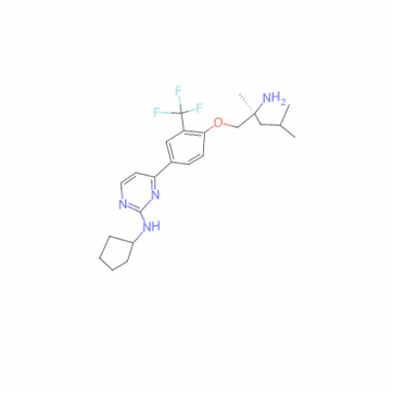 CC(C)C[C@](C)(N)COc1ccc(-c2ccnc(NC3CCCC3)n2)cc1C(F)(F)F